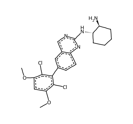 COc1cc(OC)c(Cl)c(-c2ccc3nc(N[C@H]4CCCC[C@@H]4N)ncc3c2)c1Cl